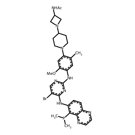 COc1cc(N2CCC(N3CC(NC(C)=O)C3)CC2)c(C)cc1Nc1ncc(Br)c(Nc2ccc3nccnc3c2P(C)C)n1